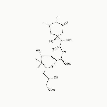 C=C1C[C@](O)([C@H](O)C(=O)N[C@@H](OC)[C@@H]2C[C@@H](O)C(C)(C)[C@@H](C[C@H](O)COC)O2)O[C@H](C)[C@@H]1C